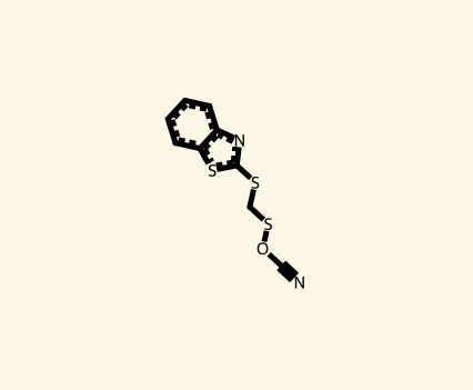 N#COSCSc1nc2ccccc2s1